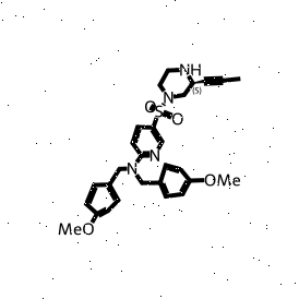 CC#C[C@H]1CN(S(=O)(=O)c2ccc(N(Cc3ccc(OC)cc3)Cc3ccc(OC)cc3)nc2)CCN1